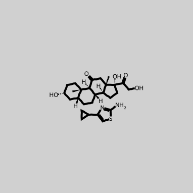 C[C@]12CC[C@@H](O)C[C@H]1CC[C@@H]1[C@@H]2C(=O)C[C@@]2(C)[C@H]1CC[C@]2(O)C(=O)CO.Nc1nc(C2CC2)cs1